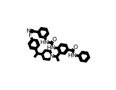 CC(c1ccc(F)cc1)C1CCN(C(C)c2cc(C(=O)Nc3ccccc3)ccc2NC(=O)Nc2cccc(C#N)c2)CC1